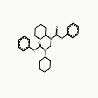 O=C(Oc1ccccc1)N(CN(C(=O)Oc1ccccc1)C1CCCCC1)C1CCCCC1